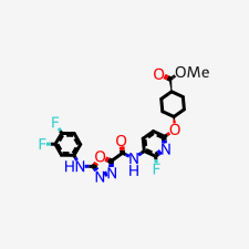 COC(=O)[C@H]1CC[C@@H](Oc2ccc(NC(=O)c3nnc(Nc4ccc(F)c(F)c4)o3)c(F)n2)CC1